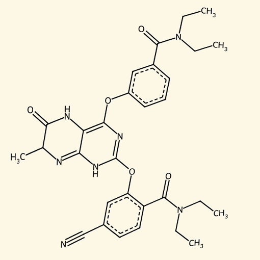 CCN(CC)C(=O)c1cccc(OC2=C3NC(=O)C(C)N=C3NC(Oc3cc(C#N)ccc3C(=O)N(CC)CC)=N2)c1